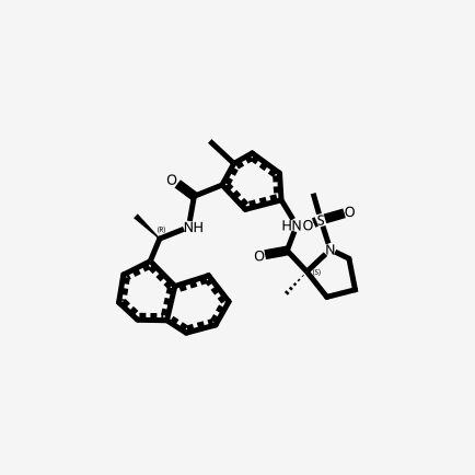 Cc1ccc(NC(=O)[C@]2(C)CCCN2S(C)(=O)=O)cc1C(=O)N[C@H](C)c1cccc2ccccc12